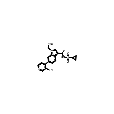 C[C@@H](NS(=O)(=O)C1CC1)c1cn(CC(C)(C)C)c2cc(-c3ccncc3C#N)ccc12